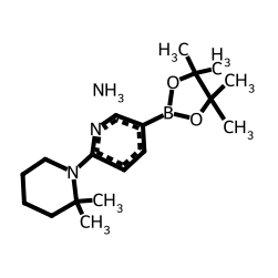 CC1(C)CCCCN1c1ccc(B2OC(C)(C)C(C)(C)O2)cn1.N